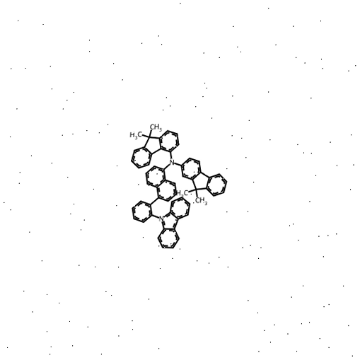 CC1(C)c2ccccc2-c2ccc(N(c3cccc4c3-c3ccccc3C4(C)C)c3cccc4c(-c5ccccc5-n5c6ccccc6c6ccccc65)cccc34)cc21